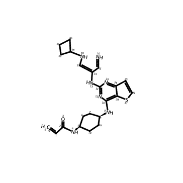 C=CC(=O)N[C@H]1CC[C@@H](Nc2nc(N/C(C=N)=C/NC3CCC3)nc3ccsc23)CC1